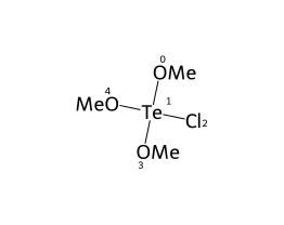 CO[Te](Cl)(OC)OC